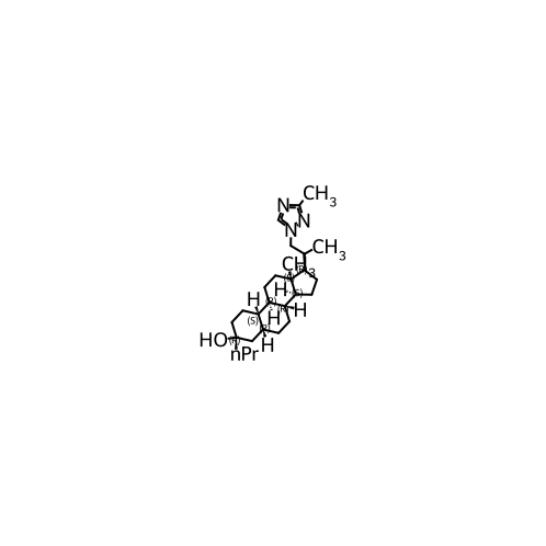 CCC[C@@]1(O)CC[C@H]2[C@H](CC[C@@H]3[C@@H]2CC[C@]2(C)[C@@H](C(C)Cn4cnc(C)n4)CC[C@@H]32)C1